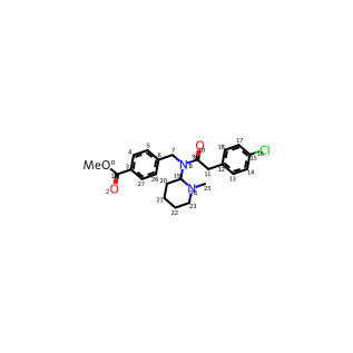 COC(=O)c1ccc(CN(C(=O)Cc2ccc(Cl)cc2)C2CCCCN2C)cc1